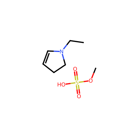 CCN1C=CCC1.COS(=O)(=O)O